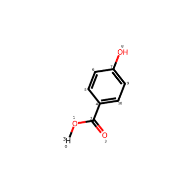 [3H]OC(=O)c1ccc(O)cc1